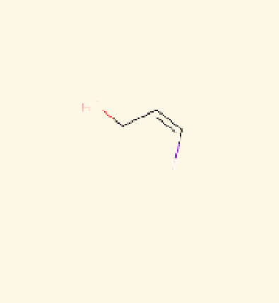 OC/C=C\I